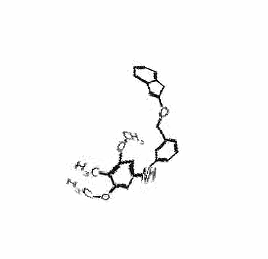 COc1cc(Nc2cccc(COC3Cc4ccccc4C3)c2)cc(OC)c1C